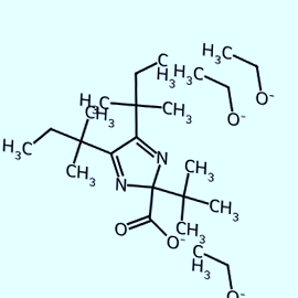 CCC(C)(C)C1=NC(C(=O)[O-])(C(C)(C)C)N=C1C(C)(C)CC.CC[O-].CC[O-].CC[O-].[Ti+4]